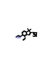 C=Cc1c(/C=C/C)ccc2c1C=C(C[Si](C)(C)C)C2(C)C